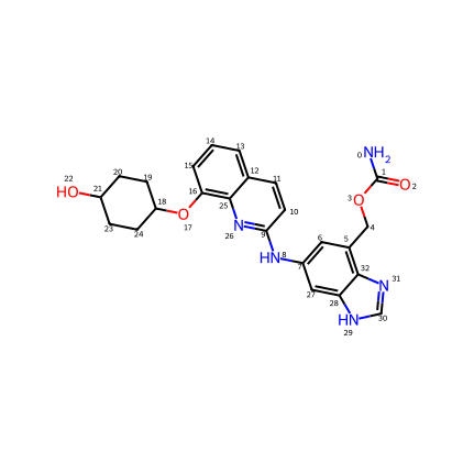 NC(=O)OCc1cc(Nc2ccc3cccc(OC4CCC(O)CC4)c3n2)cc2[nH]cnc12